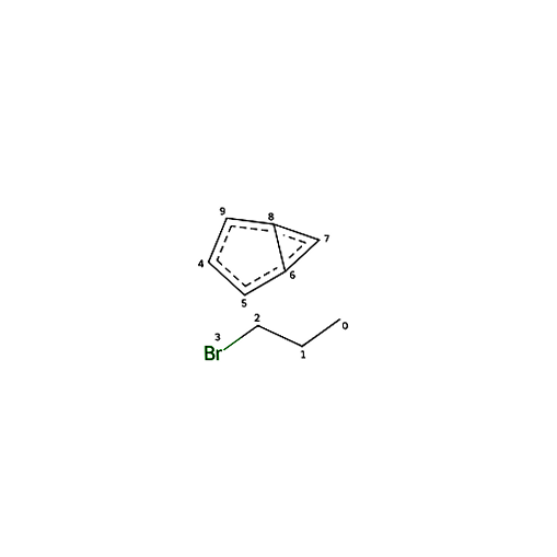 CCCBr.c1cc2cc-2c1